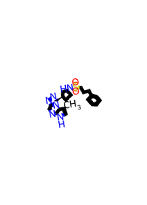 C[C@@H]1C[C@H](NS(=O)(=O)CCCc2ccccc2)C[C@@H]1c1nnc2n1C1C=CNC1N=C2